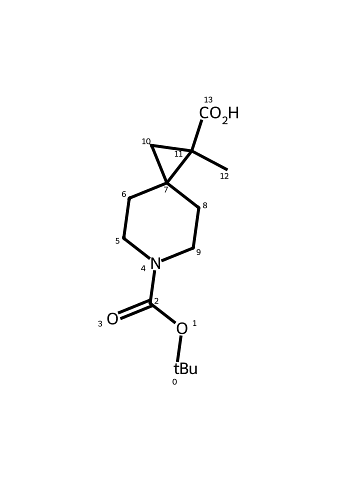 CC(C)(C)OC(=O)N1CCC2(CC1)CC2(C)C(=O)O